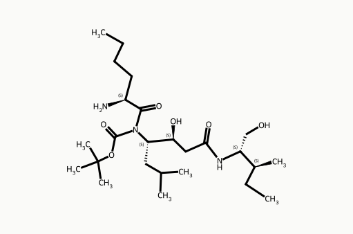 CCCC[C@H](N)C(=O)N(C(=O)OC(C)(C)C)[C@@H](CC(C)C)[C@@H](O)CC(=O)N[C@H](CO)[C@@H](C)CC